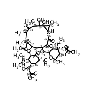 CO[C@]1(C)C[C@H](O[C@H]2[C@H](C)[C@@H](O[C@@H]3O[C@H](C)C[C@@H](N(C)C(C)=O)[C@@H]3N(C)C)[C@@](C)(OC)C[C@@H](C)C(=O)[C@H](C)[C@@H](O)[C@@]3(O)C(C)[C@H]3OC(=O)[C@@H]2C)O[C@@H](C)[C@@H]1OC(C)=O